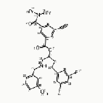 C#Cc1cc(C(=O)OC(CCc2cc(F)cc(F)c2)CNCc2cccc(C(F)(F)F)c2)cc(C(=O)N(CCC)CCC)c1